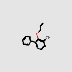 C=CCOc1c(C#N)cccc1-c1ccccc1